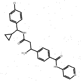 NC(CC(=O)NC(c1ccc(Cl)cc1)C1CC1)c1ccc(C(=O)Nc2ccncc2)cc1